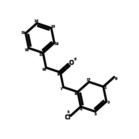 CC1C=CC(Cl)=C(CC(=O)Cc2ccccc2)C1